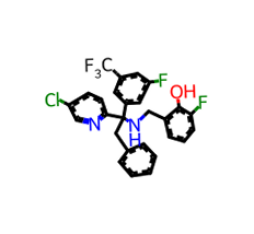 Oc1c(F)cccc1CNC(Cc1ccccc1)(c1cc(F)cc(C(F)(F)F)c1)c1ccc(Cl)cn1